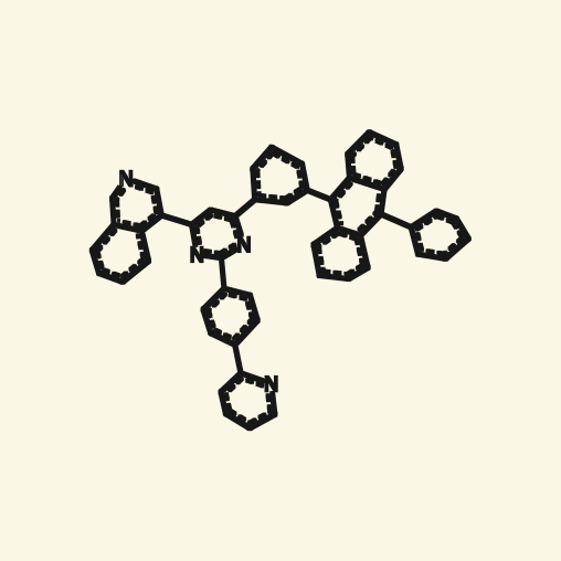 c1ccc(-c2c3ccccc3c(-c3cccc(-c4cc(-c5cncc6ccccc56)nc(-c5ccc(-c6ccccn6)cc5)n4)c3)c3ccccc23)cc1